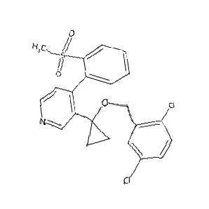 CS(=O)(=O)c1ccccc1-c1ccncc1C1(OCc2cc(Cl)ccc2Cl)CC1